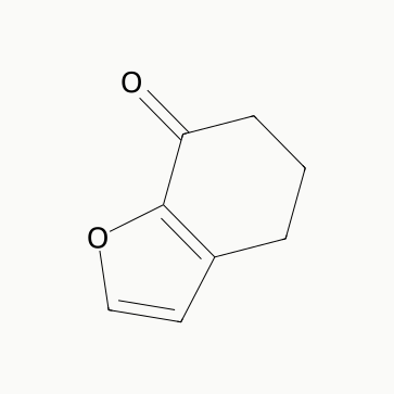 O=C1CCCc2ccoc21